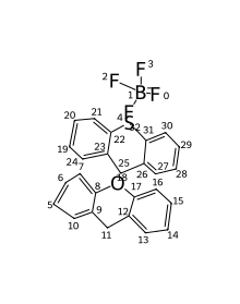 F[B-](F)(F)F.c1ccc2c(c1)Cc1ccccc1O2.c1ccc2c(c1)Cc1ccccc1S2